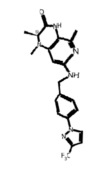 Cc1nc(NCc2ccc(-n3ccc(C(F)(F)F)n3)cc2)cc2c1NC(=O)[C@H](C)N2C